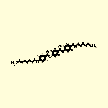 CCCCCCCCOc1ccc(C(=O)Oc2ccc(C(=O)Oc3ccc(CCCCCCCC)cc3)cc2)cc1